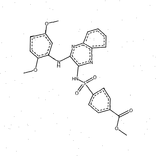 COC(=O)c1ccc(S(=O)(=O)Nc2nc3ccccc3nc2Nc2cc(OC)ccc2OC)cc1